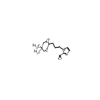 CC1(C)COC(CCCn2ccnc2C=O)OC1